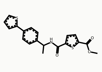 COC(=O)c1ccc(C(=O)NC(C)c2ccc(-c3cccs3)cc2)s1